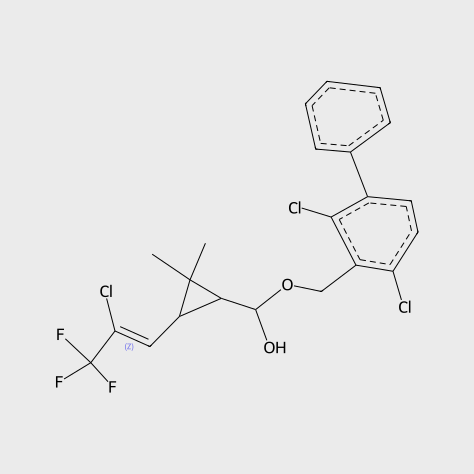 CC1(C)C(/C=C(\Cl)C(F)(F)F)C1C(O)OCc1c(Cl)ccc(-c2ccccc2)c1Cl